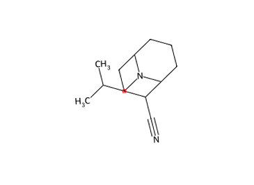 CC(C)CN1C2CCCC1C(C#N)CC2